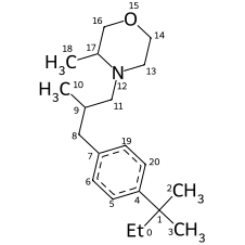 CCC(C)(C)c1ccc(CC(C)CN2CCOCC2C)cc1